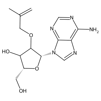 C=C(C)COC1C(O)[C@@H](CO)O[C@H]1n1cnc2c(N)ncnc21